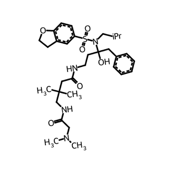 CC(C)CN(C(O)(CCNC(=O)CC(C)(C)CNC(=O)CN(C)C)Cc1ccccc1)S(=O)(=O)c1ccc2c(c1)CCO2